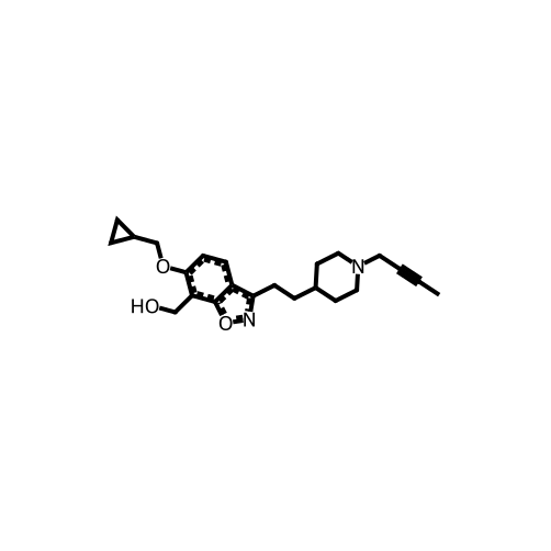 CC#CCN1CCC(CCc2noc3c(CO)c(OCC4CC4)ccc23)CC1